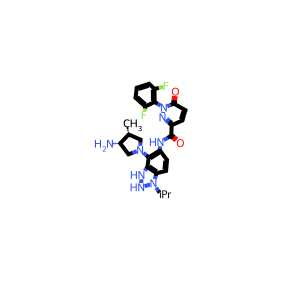 CC(C)N1NNc2c1ccc(NC(=O)c1ccc(=O)n(-c3c(F)cccc3F)n1)c2N1C[C@@H](C)[C@@H](N)C1